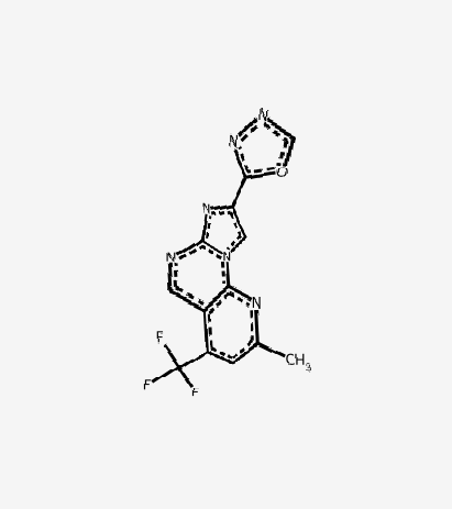 Cc1cc(C(F)(F)F)c2cnc3nc(-c4nnco4)cn3c2n1